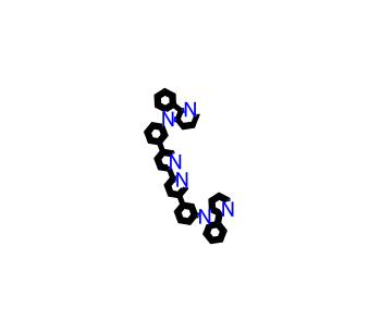 C1=CC2C(N=C1)c1ccccc1N2c1cccc(-c2ccc(-c3ccc(-c4cccc(-n5c6ccccc6c6ncccc65)c4)cn3)nc2)c1